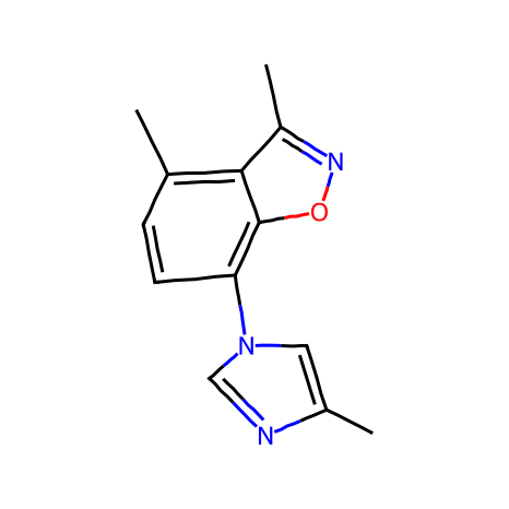 Cc1cn(-c2ccc(C)c3c(C)noc23)cn1